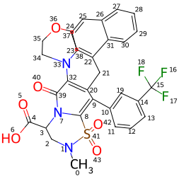 CN1CC(C(=O)O)n2c(c(-c3cccc(C(F)(F)F)c3)c(Cc3cccc4ccccc34)c(N3CCOCC3)c2=O)S1(=O)=O